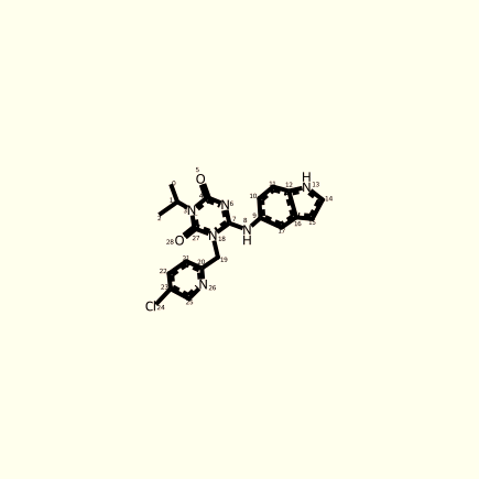 CC(C)n1c(=O)nc(Nc2ccc3[nH]ccc3c2)n(Cc2ccc(Cl)cn2)c1=O